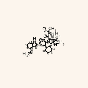 COc1cccc2[nH]c(C(=O)NC(C(=O)N3C[C@H]4[C@@H]([C@H]3C(=O)N[C@@H](C)C=O)C4(C)C)C3CCCCC3)cc12